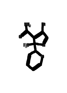 CCC1=C(C(N)=O)C(C2C=CC=CO2)(C(F)(F)F)N=C1